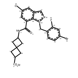 O=C(NC1CC2(C1)CC(C(=O)O)C2)c1cc(Cl)cc2cnn(Cc3ccc(Br)cc3F)c12